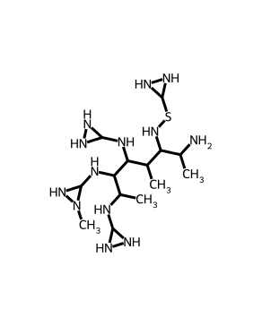 CC(N)C(NSC1NN1)C(C)C(NC1NN1)C(NC1NN1C)C(C)NC1NN1